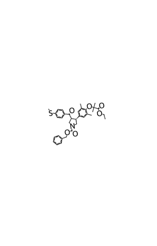 CCOC(=O)C(C)(C)Oc1c(C)cc([C@H]2CN(C(=O)OCc3ccccc3)CC2C(=O)c2ccc(SC)cc2)cc1C